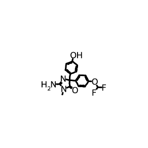 CN1C(=O)C(c2ccc(O)cc2)(c2ccc(OC(F)F)cc2)N=C1N